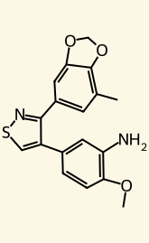 COc1ccc(-c2csnc2-c2cc(C)c3c(c2)OCO3)cc1N